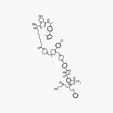 CCN(CCO)CC[C@H](CSc1ccccc1)Nc1ccc(S(=O)(=O)NC(=O)c2ccc(N3CCN(CC4=C(c5ccc(Cl)cc5)CCC(C)(CN5CCN(C(=O)CCCCCCCN[C@H](C(=O)N6C[C@H](O)C[C@H]6C(=O)N[C@@H](C)c6ccc(-c7scnc7C)cc6)C(C)(C)C)CC5)C4)CC3)cc2)cc1S(=O)(=O)C(F)(F)F